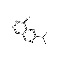 CC(C)c1ncc2cn[nH]c(=O)c2n1